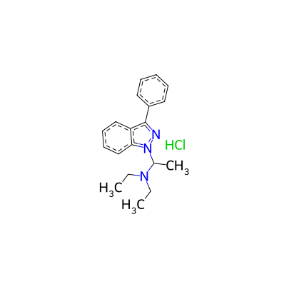 CCN(CC)C(C)n1nc(-c2ccccc2)c2ccccc21.Cl